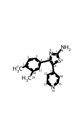 Cc1ccc(-c2nc(N)sc2-c2ccncc2)cc1C